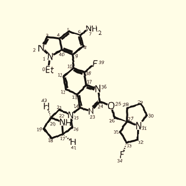 CCn1ncc2cc(N)cc(-c3ccc4c(N5C[C@H]6CC[C@@H](C5)N6)nc(OC[C@@]56CCCN5C[C@H](F)C6)nc4c3F)c21